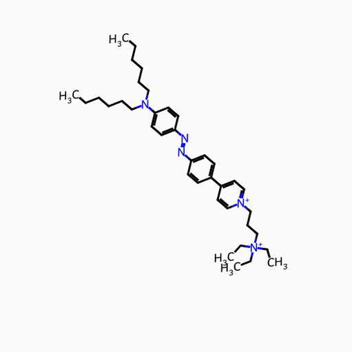 CCCCCCN(CCCCCC)c1ccc(/N=N/c2ccc(-c3cc[n+](CCC[N+](CC)(CC)CC)cc3)cc2)cc1